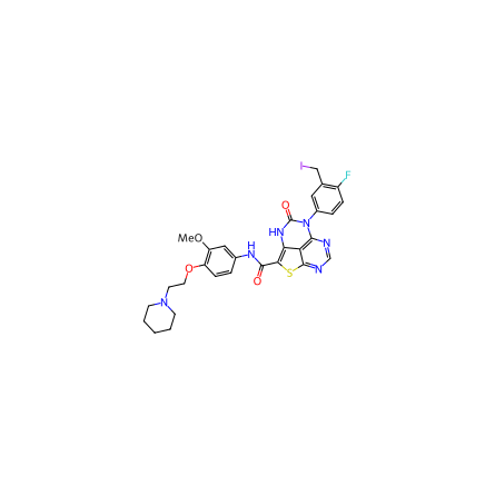 COc1cc(NC(=O)c2sc3ncnc4c3c2NC(=O)N4c2ccc(F)c(CI)c2)ccc1OCCN1CCCCC1